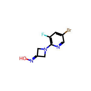 ON=C1CN(c2ncc(Br)cc2F)C1